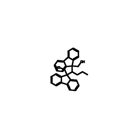 CCCC(C1(CO)c2ccccc2-c2ccccc21)C1(CO)c2ccccc2-c2ccccc21